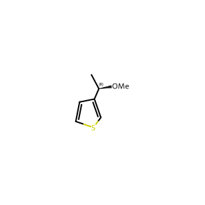 CO[C@H](C)c1ccsc1